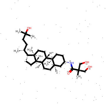 C[C@H](CCC(C)(C)O)[C@H]1CC[C@H]2[C@@H]3CC[C@@H]4C[C@@H](NC(=O)C(C)(CO)CO)CC[C@]4(C)[C@H]3CC[C@]12C